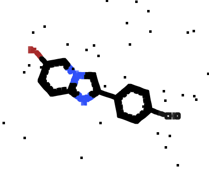 O=Cc1ccc(-c2cn3cc(Br)ccc3n2)cc1